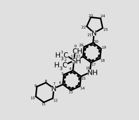 C[SH]1(C)(C)c2cc(N3CCCCC3)ccc2Nc2ccc(N3CCCC3)cc21